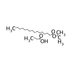 CCCC(=O)O.CCCCCCCCCCCCCCCC(=O)OC(C)C